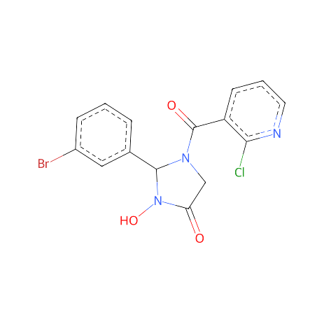 O=C1CN(C(=O)c2cccnc2Cl)C(c2cccc(Br)c2)N1O